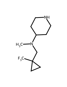 CN(CC1(C(F)(F)F)CC1)C1CCNCC1